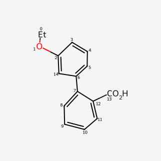 CCOc1cccc(-c2ccccc2C(=O)O)c1